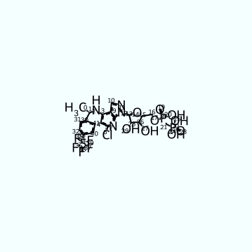 C[C@@H](Nc1cc(Cl)nc2c1cnn2C1OC(COP(=O)(O)CP(=O)(O)O)C(O)C1O)c1ccc(S(F)(F)(F)(F)F)cc1